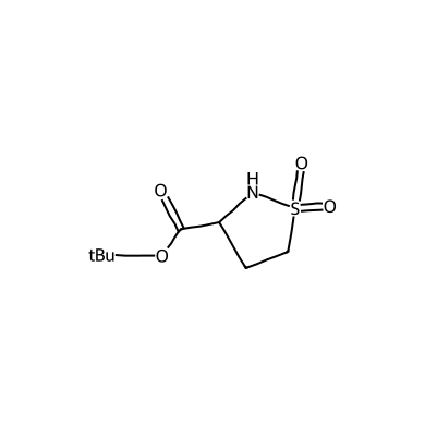 CC(C)(C)OC(=O)C1CCS(=O)(=O)N1